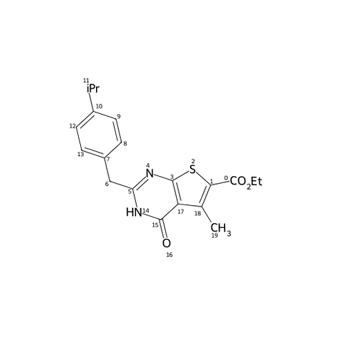 CCOC(=O)c1sc2nc(Cc3ccc(C(C)C)cc3)[nH]c(=O)c2c1C